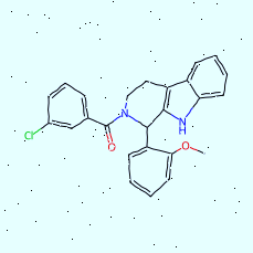 COc1ccccc1C1c2[nH]c3ccccc3c2CCN1C(=O)c1cccc(Cl)c1